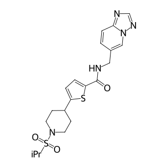 CC(C)S(=O)(=O)N1CCC(c2ccc(C(=O)NCc3ccc4ncnn4c3)s2)CC1